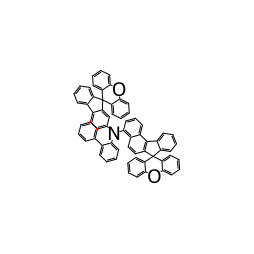 c1ccc(-c2ccccc2N(c2ccc3c(c2)C2(c4ccccc4Oc4ccccc42)c2ccccc2-3)c2cccc3c4c(ccc23)C2(c3ccccc3Oc3ccccc32)c2ccccc2-4)cc1